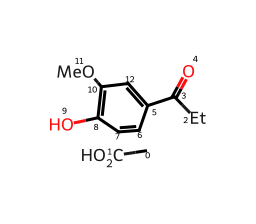 CC(=O)O.CCC(=O)c1ccc(O)c(OC)c1